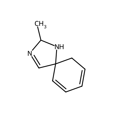 CC1N=CC2(C=CC=CC2)N1